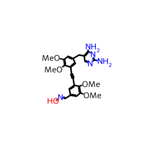 COc1cc(C=NO)cc(C#Cc2cc(Cc3cnc(N)nc3N)cc(OC)c2OC)c1OC